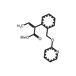 CC=C(C(=O)OC)c1ccccc1COc1ccccn1